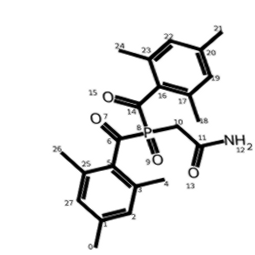 Cc1cc(C)c(C(=O)P(=O)(CC(N)=O)C(=O)c2c(C)cc(C)cc2C)c(C)c1